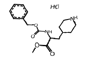 COC(=O)C(CC1CCNCC1)NC(=O)OCc1ccccc1.Cl